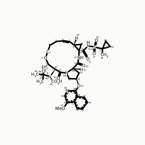 CC[C@@H]1OCCC/C=C\[C@@H]2C[C@@]2(C(=O)NS(=O)(=O)C2(C)CC2)NC(=O)[C@@H]2C[C@@H](Oc3ncc(OC)c4ccccc34)CN2C(=O)[C@H]1N(C(=O)O)C(C)(C)C(F)(F)F